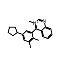 Cc1cc(C2CCCC2)cc(-c2c3ccccc3nc[n+]2C)c1C